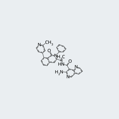 Cc1cc(-c2cccc3cc([C@H](C)NC(=O)c4c(N)ncc5cccnc45)n(-c4ccccc4)c(=O)c23)ccn1